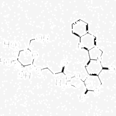 CC[C@@]1(OOC(=O)CCO[C@@H]2O[C@H](CO)[C@@H](O)[C@H](O)[C@H]2O)C(=O)OCc2c1cc1n(c2=O)Cc2cc3ccccc3nc2-1